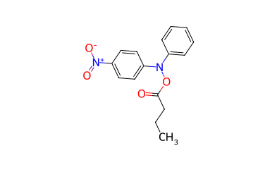 CCCC(=O)ON(c1ccccc1)c1ccc([N+](=O)[O-])cc1